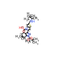 CC(NCc1cc2c(cc(-c3nn(C(=O)OC(C)(C)C)c4c3CCC(C)(C)C4)n2C(=O)O)s1)C(C)(C)C